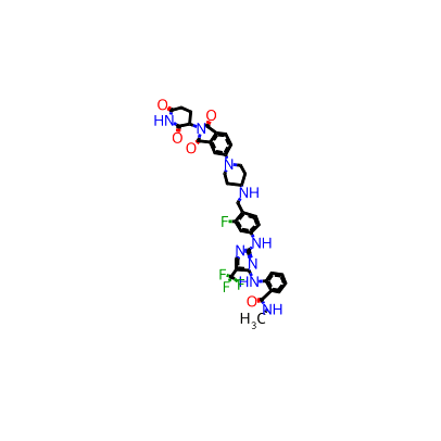 CNC(=O)c1ccccc1Nc1nc(Nc2ccc(CNC3CCN(c4ccc5c(c4)C(=O)N(C4CCC(=O)NC4=O)C5=O)CC3)c(F)c2)ncc1C(F)(F)F